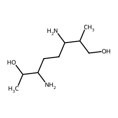 CC(O)C(N)CCC(N)C(C)CO